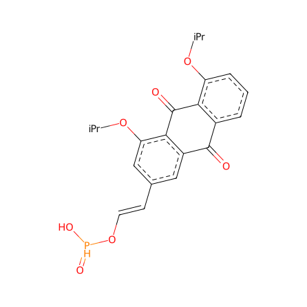 CC(C)Oc1cccc2c1C(=O)c1c(OC(C)C)cc(C=CO[PH](=O)O)cc1C2=O